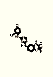 O=C1Nc2cc(Nc3ncnc(Nc4ccc(Cl)cc4Cl)n3)ccc2OC1(F)F